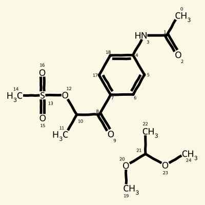 CC(=O)Nc1ccc(C(=O)C(C)OS(C)(=O)=O)cc1.COC(C)OC